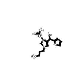 CCCCN1C=C(C(O)c2ccco2)N(C)C1.O=CO